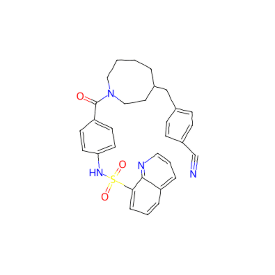 N#Cc1ccc(CC2CCCCN(C(=O)c3ccc(NS(=O)(=O)c4cccc5cccnc45)cc3)CC2)cc1